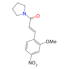 COc1cc([N+](=O)[O-])ccc1C=CC(=O)N1CCCC1